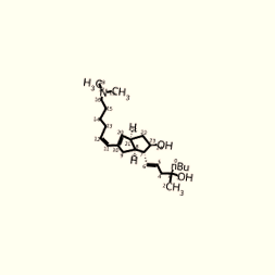 CCCC[C@](C)(O)C/C=C/[C@@H]1[C@H]2CC(/C=C\CCCCN(C)C)=C[C@H]2C[C@H]1O